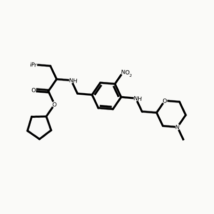 CC(C)CC(NCc1ccc(NCC2CN(C)CCO2)c([N+](=O)[O-])c1)C(=O)OC1CCCC1